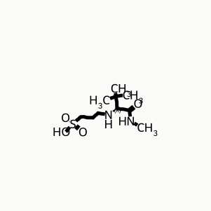 CNC(=O)[C@H](NCCCS(=O)(=O)O)C(C)(C)C